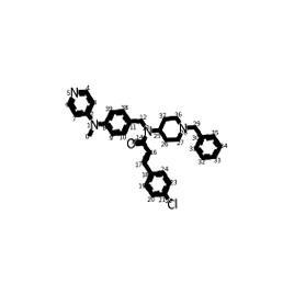 CN(c1ccncc1)c1ccc(CN(C(=O)C=Cc2ccc(Cl)cc2)C2CCN(Cc3ccccc3)CC2)cc1